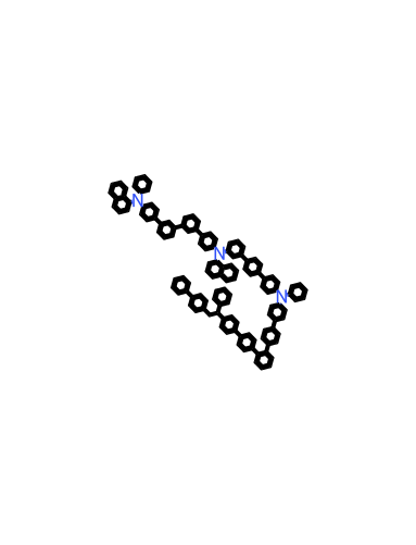 c1ccc(-c2ccc(CC(c3ccccc3)c3ccc(-c4ccc(-c5ccccc5-c5ccc(-c6ccc(N(c7ccccc7)c7ccc(-c8ccc(-c9cccc(N(c%10ccc(-c%11cccc(-c%12cccc(-c%13ccc(N(c%14ccccc%14)c%14cccc%15ccccc%14%15)cc%13)c%12)c%11)cc%10)c%10cccc%11ccccc%10%11)c9)cc8)cc7)cc6)cc5)cc4)cc3)cc2)cc1